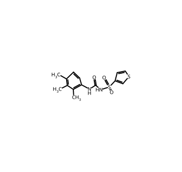 Cc1ccc(NC(=O)NS(=O)(=O)c2ccsc2)c(C)c1C